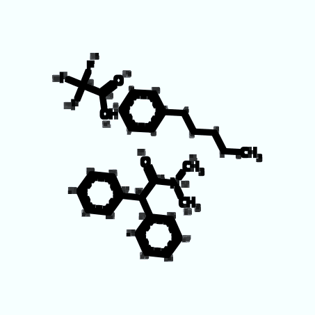 CCCCCc1ccccc1.CN(C)C(=O)C(c1ccccc1)c1ccccc1.O=C(O)C(F)(F)F